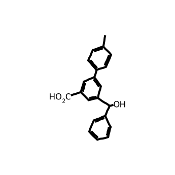 Cc1ccc(-c2cc(C(=O)O)cc(C(O)c3ccccc3)c2)cc1